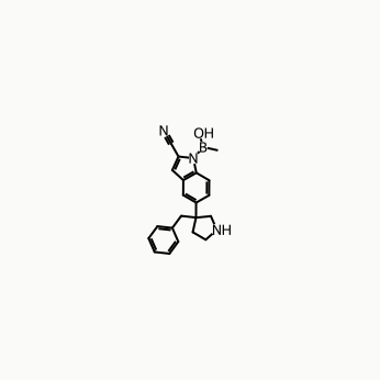 CB(O)n1c(C#N)cc2cc(C3(Cc4ccccc4)CCNC3)ccc21